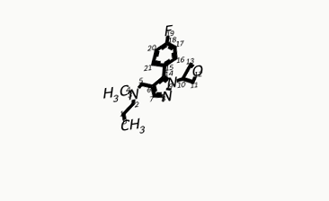 CCCN(C)Cc1cnn(C2COC2)c1-c1ccc(F)cc1